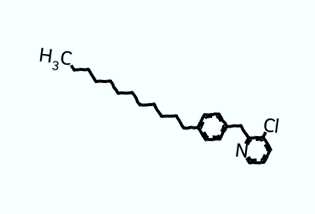 CCCCCCCCCCCCc1ccc(Cc2ncccc2Cl)cc1